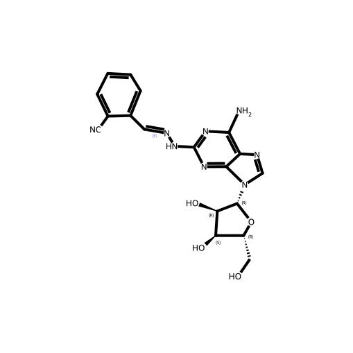 N#Cc1ccccc1/C=N/Nc1nc(N)c2ncn([C@@H]3O[C@H](CO)[C@@H](O)[C@H]3O)c2n1